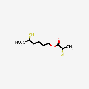 CC(S)C(=O)OCCCCC(S)C(=O)O